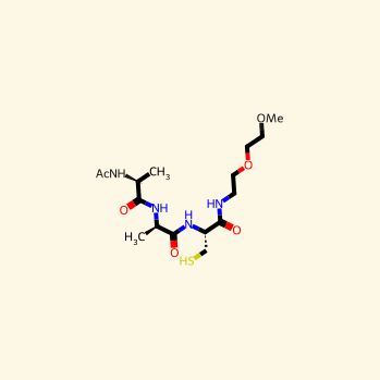 COCCOCCNC(=O)[C@H](CS)NC(=O)[C@@H](C)NC(=O)[C@H](C)NC(C)=O